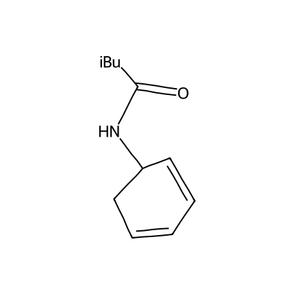 CCC(C)C(=O)NC1C=CC=CC1